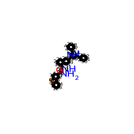 N=C(OC(N)c1ccc2sc3ccccc3c2c1)c1cccc2cc(-c3cc(-c4ccccc4)nc(-c4ccccc4)n3)ccc12